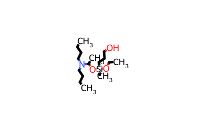 CCCCN(CCCC)C(C)O[Si](C)(CCCO)OCC